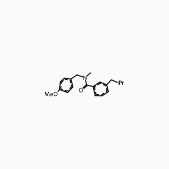 COc1ccc(CN(C)C(=O)c2cccc(CC(C)C)c2)cc1